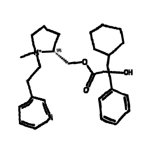 C[N+]1(CCc2cccnc2)CCC[C@@H]1COC(=O)C(O)(c1ccccc1)C1CCCCC1